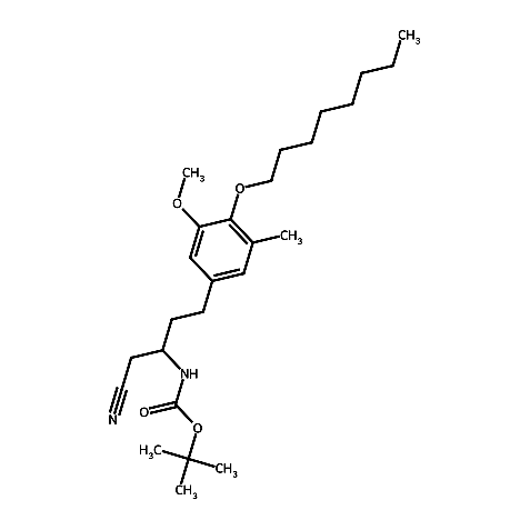 CCCCCCCCOc1c(C)cc(CCC(CC#N)NC(=O)OC(C)(C)C)cc1OC